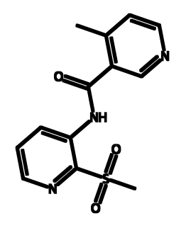 Cc1ccncc1C(=O)Nc1cccnc1S(C)(=O)=O